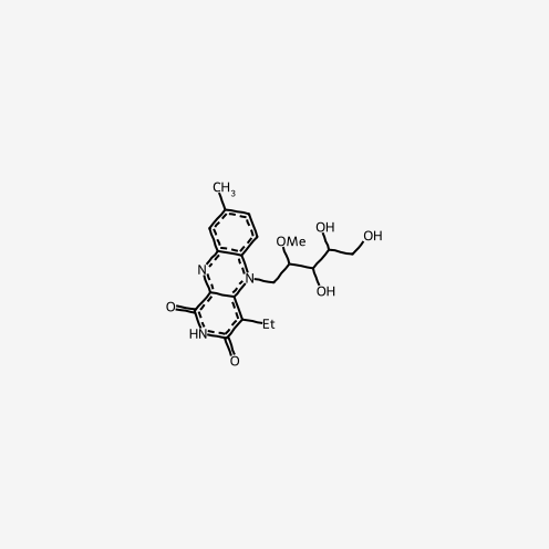 CCc1c2n(CC(OC)C(O)C(O)CO)c3ccc(C)cc3nc-2c(=O)[nH]c1=O